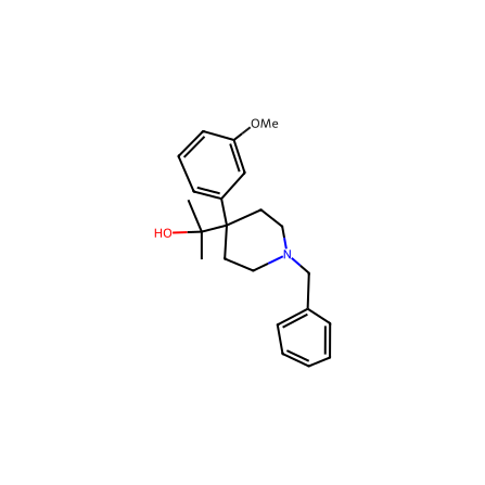 COc1cccc(C2(C(C)(C)O)CCN(Cc3ccccc3)CC2)c1